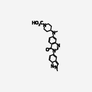 CN(c1ccc2c(=O)n(-c3ccc4nn(C)cc4c3)cnc2c1)C1CCN(C(=O)O)CC1